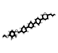 CCCC1CCC(C2CCC(C3CCC(C4CCC(COc5ccc(OCC)c(F)c5F)CC4)CC3)CC2)CO1